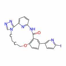 O=C1Nc2cccc(n2)-c2nncn2CCCCOc2ccc(-c3ccc(I)nc3)cc21